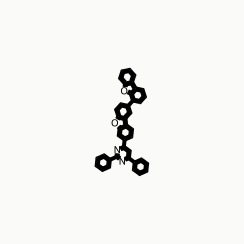 c1ccc(-c2cc(-c3ccc4c(c3)oc3ccc(-c5cccc6c5oc5ccccc56)cc34)nc(-c3ccccc3)n2)cc1